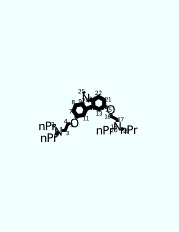 CCCN(CCC)CCOc1ccc2c(c1)c1cc(OCCN(CCC)CCC)ccc1n2C